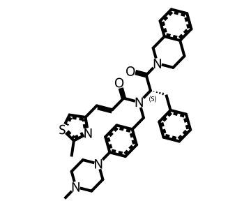 Cc1nc(C=CC(=O)N(Cc2ccc(N3CCN(C)CC3)cc2)[C@@H](Cc2ccccc2)C(=O)N2CCc3ccccc3C2)cs1